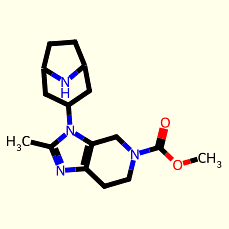 COC(=O)N1CCc2nc(C)n(C3CC4CCC(C3)N4)c2C1